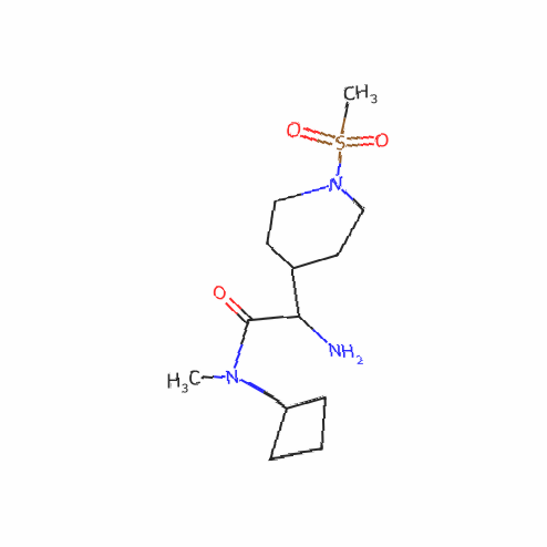 CN(C(=O)C(N)C1CCN(S(C)(=O)=O)CC1)C1CCC1